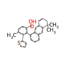 Cc1ccc(C(=O)O)c(-c2cccc3cc4c(cc23)C=CCC4(C)C)c1-c1cccs1